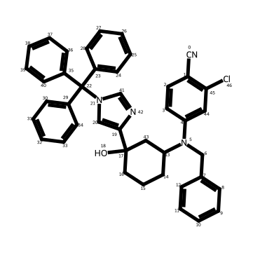 N#Cc1ccc(N(Cc2ccccc2)C2CCCC(O)(c3cn(C(c4ccccc4)(c4ccccc4)c4ccccc4)cn3)C2)cc1Cl